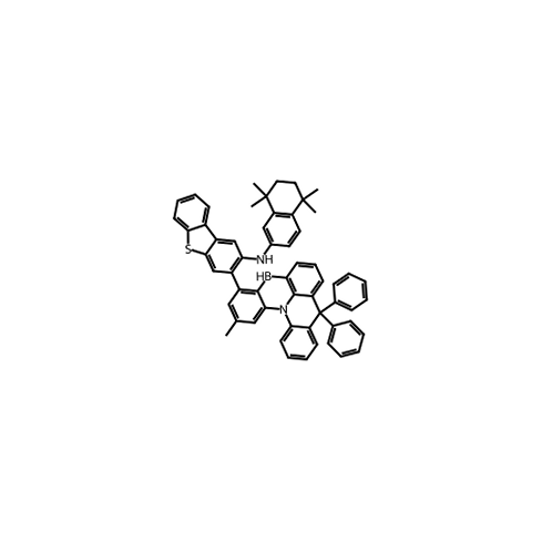 Cc1cc(-c2cc3sc4ccccc4c3cc2Nc2ccc3c(c2)C(C)(C)CCC3(C)C)c2c(c1)N1c3ccccc3C(c3ccccc3)(c3ccccc3)c3cccc(c31)B2